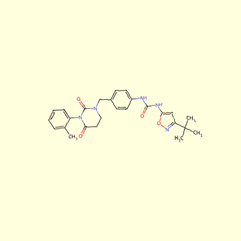 Cc1ccccc1N1C(=O)CCN(Cc2ccc(NC(=O)Nc3cc(C(C)(C)C)no3)cc2)C1=O